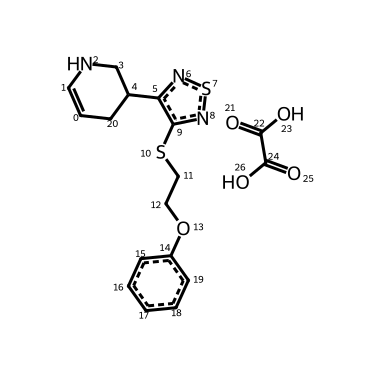 C1=CNCC(c2nsnc2SCCOc2ccccc2)C1.O=C(O)C(=O)O